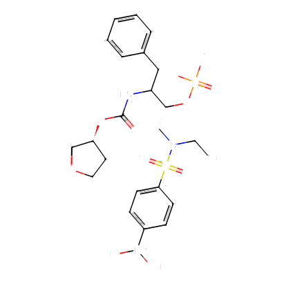 CC(C)CN(C[C@@H](OP(=O)(O)O)C(Cc1ccccc1)NC(=O)O[C@H]1CCOC1)S(=O)(=O)c1ccc(B(O)O)cc1